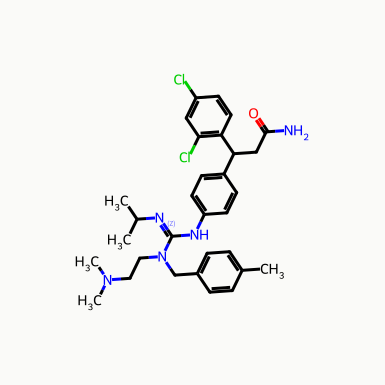 Cc1ccc(CN(CCN(C)C)/C(=N\C(C)C)Nc2ccc(C(CC(N)=O)c3ccc(Cl)cc3Cl)cc2)cc1